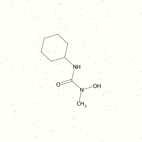 CN(O)C(=O)NC1CCCCC1